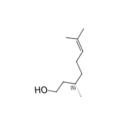 CC(C)=CCC[C@H](C)CCO